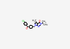 CC(=O)OC(C)n1cnc2c(c(C)cn2Cc2ccc(C(=O)c3ccc(Cl)cc3)cc2)c1=O